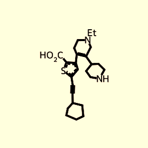 CCN1CCC(c2cc(C#CC3CCCCC3)sc2C(=O)O)=C(C2CCNCC2)C1